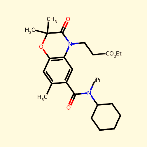 CCOC(=O)CCN1C(=O)C(C)(C)Oc2cc(C)c(C(=O)N(C(C)C)C3CCCCC3)cc21